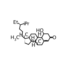 CC[C@H](CC[C@@H](C)[C@H]1CC[C@H]2[C@@H]3CCC4=CC(=O)CC(O)[C@]4(C)[C@H]3CC[C@]12C)C(C)C